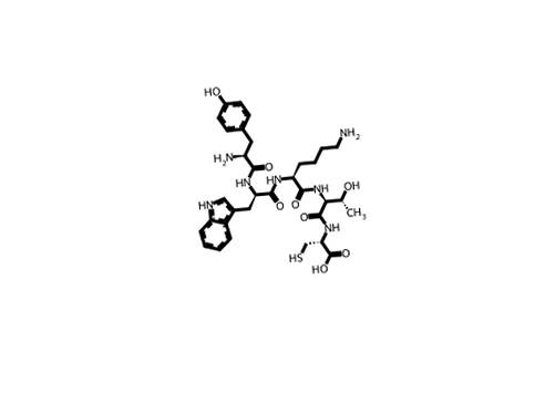 C[C@@H](O)[C@H](NC(=O)[C@H](CCCCN)NC(=O)[C@@H](Cc1c[nH]c2ccccc12)NC(=O)[C@@H](N)Cc1ccc(O)cc1)C(=O)N[C@@H](CS)C(=O)O